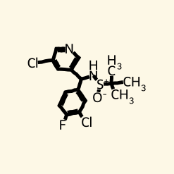 CC(C)(C)[S+]([O-])NC(c1cncc(Cl)c1)c1ccc(F)c(Cl)c1